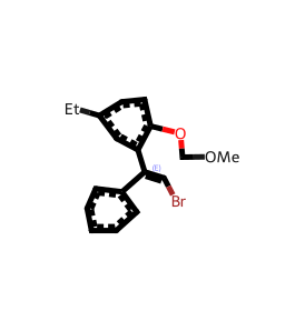 CCc1ccc(OCOC)c(/C(=C/Br)c2ccccc2)c1